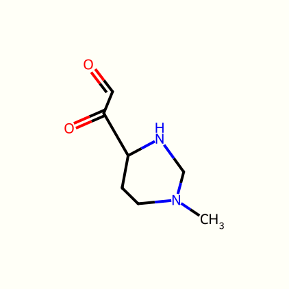 CN1CCC(C(=O)C=O)NC1